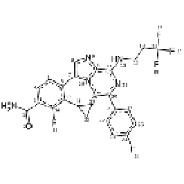 NC(=O)c1ccc(-c2cnc3c(NCCC(F)(F)F)nc(-c4ccc(F)cc4)cn23)c(C2CC2)c1F